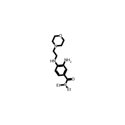 CCN(CC)C(=O)c1ccc(NCCN2CCOCC2)c(N)c1